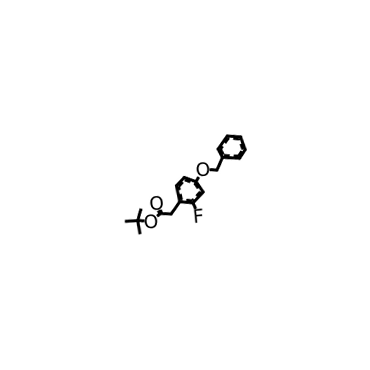 CC(C)(C)OC(=O)Cc1ccc(OCc2ccccc2)cc1F